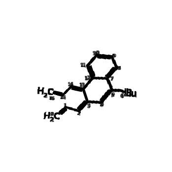 C=C/C=c1/cc(C(C)CC)c2ccccc2/c1=C/C=C